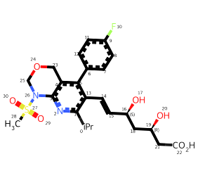 CC(C)c1nc2c(c(-c3ccc(F)cc3)c1C=C[C@@H](O)C[C@@H](O)CC(=O)O)COCN2S(C)(=O)=O